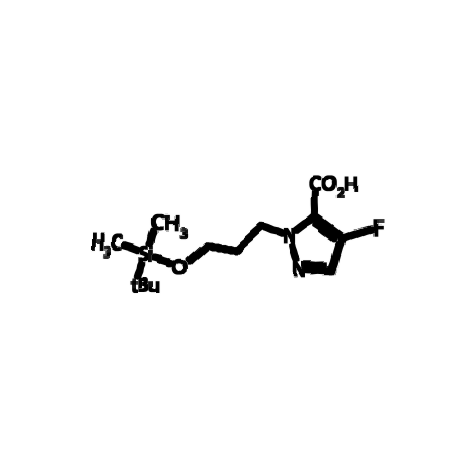 CC(C)(C)[Si](C)(C)OCCCn1ncc(F)c1C(=O)O